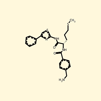 CSCCC[C@H](NC(=O)c1ccc(CN)cc1)C(=O)Nc1nc(-c2ccccc2)cs1